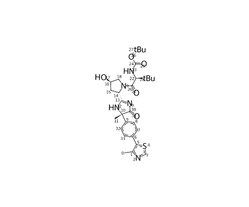 Cc1ncsc1-c1ccc([C@]2(C)NC([C@@H]3C[C@@H](O)CN3C(=O)[C@@H](NC(=O)OC(C)(C)C)C(C)(C)C)=NC2=O)cc1